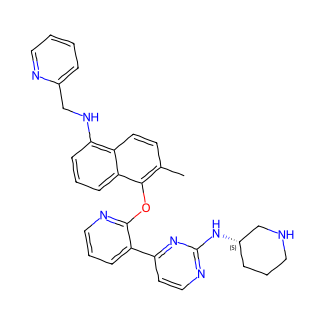 Cc1ccc2c(NCc3ccccn3)cccc2c1Oc1ncccc1-c1ccnc(N[C@H]2CCCNC2)n1